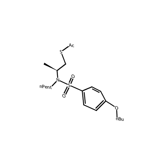 CCCCCN([C@@H](C)CSC(C)=O)S(=O)(=O)c1ccc(OCCCC)cc1